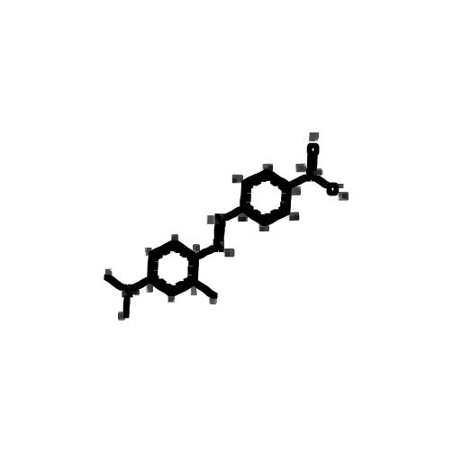 Cc1cc(N(C)C)ccc1N=Nc1ccc([N+](=O)[O-])cc1